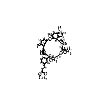 COC(=O)CCc1cccc(C2(C)CCCOC(C)(C)CS(=O)(=O)Cc3c(c(F)cc4[nH]ccc34)Oc3ccc(F)c(c3)-c3ncc2[nH]3)c1